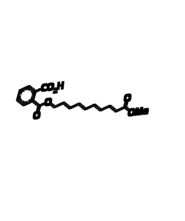 COC(=O)CCCCCCCCCOC(=O)c1ccccc1C(=O)O